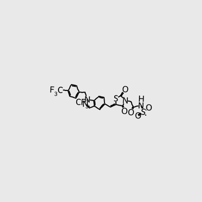 CS(=O)(=O)NC(=O)CN1C(=O)S/C(=C\c2ccc3c(cnn3Cc3ccc(C(F)(F)F)cc3C(F)(F)F)c2)C1=O